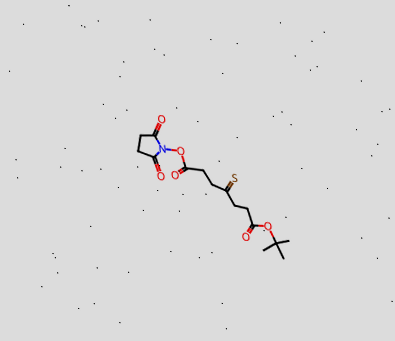 CC(C)(C)OC(=O)CCC(=S)CCC(=O)ON1C(=O)CCC1=O